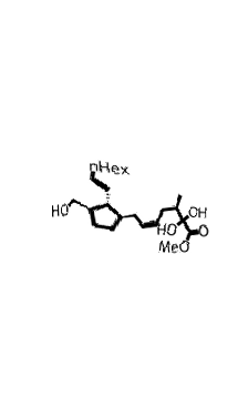 CCCCCC/C=C/[C@H]1[C@H](CO)CC[C@@H]1C/C=C\CC(C)C(O)(O)C(=O)OC